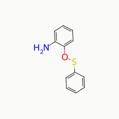 Nc1ccccc1OSc1ccccc1